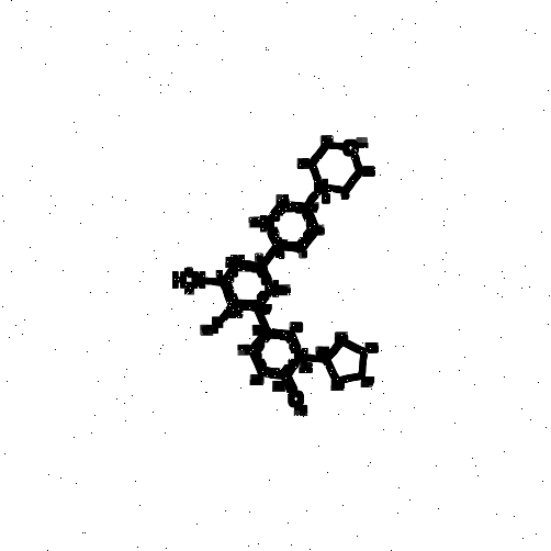 Nc1nc(-c2ccc(N3CCOCC3)cn2)nc(-c2ccc(=O)n(C3CCCC3)c2)c1F